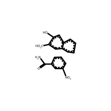 NC(=O)c1cccc([N+](=O)[O-])c1.O=C(O)c1cc2ccccc2cc1O